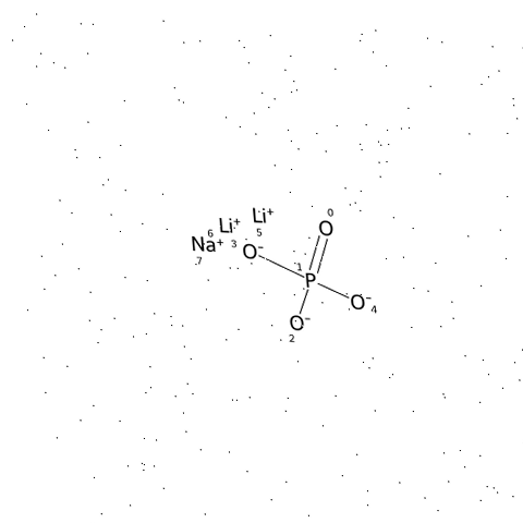 O=P([O-])([O-])[O-].[Li+].[Li+].[Na+]